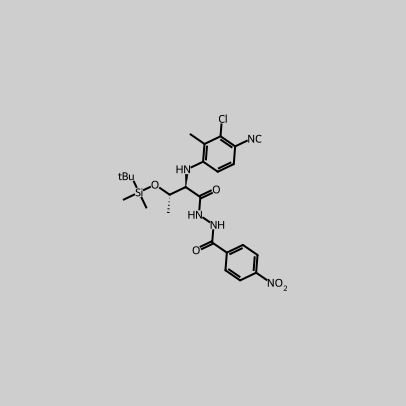 [C-]#[N+]c1ccc(N[C@@H](C(=O)NNC(=O)c2ccc([N+](=O)[O-])cc2)[C@H](C)O[Si](C)(C)C(C)(C)C)c(C)c1Cl